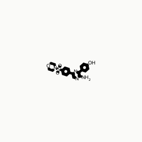 Nc1ncc(-c2ccc(S(=O)(=O)N3CCOCC3)cc2)nc1-c1ccc(O)cc1